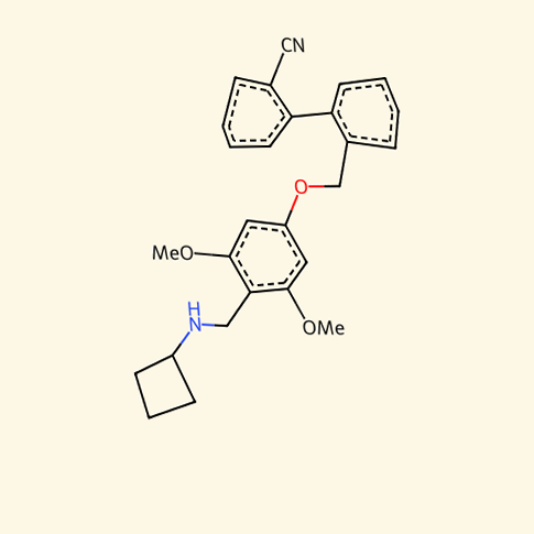 COc1cc(OCc2ccccc2-c2ccccc2C#N)cc(OC)c1CNC1CCC1